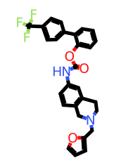 O=C(Nc1ccc2c(c1)CCN(Cc1ccco1)C2)Oc1ccccc1-c1ccc(C(F)(F)F)cc1